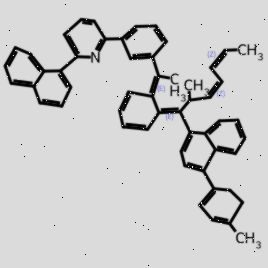 C/C=C\C=C/C(C)/C(c1ccc(C2=CC=C(C)CC2)c2ccccc12)=c1/cccc/c1=C(/C)c1cccc(-c2cccc(-c3cccc4ccccc34)n2)c1